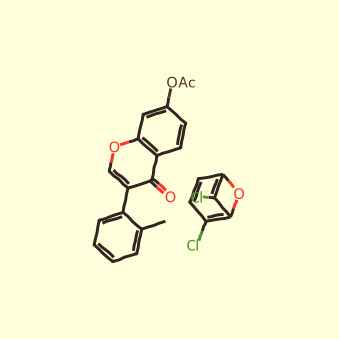 CC(=O)Oc1ccc2c(=O)c(-c3ccccc3C)coc2c1.Clc1ccc2c(Cl)c1O2